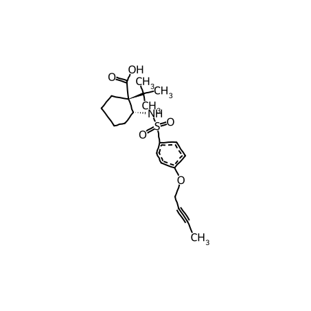 CC#CCOc1ccc(S(=O)(=O)N[C@@H]2CCCC[C@@]2(C(=O)O)C(C)(C)C)cc1